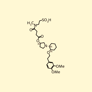 COc1ccc(CCO[C@@H]2CCCC[C@H]2N2CC[C@@H](OC(=O)CCC(=O)N(C)CCS(=O)(=O)O)C2)cc1OC